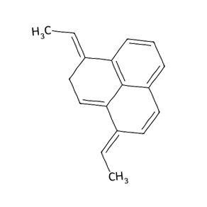 CC=C1CC=c2c(=CC)ccc3cccc1c23